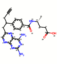 C#CCC(Cc1cnc2nc(N)nc(N)c2n1)c1ccc(C(=O)N[C@H](C)CCC(=O)O)cc1